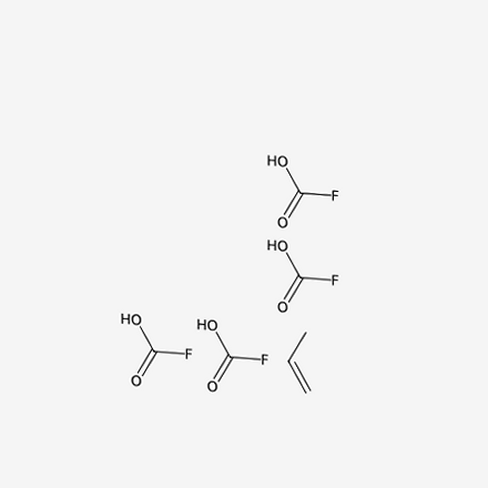 C=CC.O=C(O)F.O=C(O)F.O=C(O)F.O=C(O)F